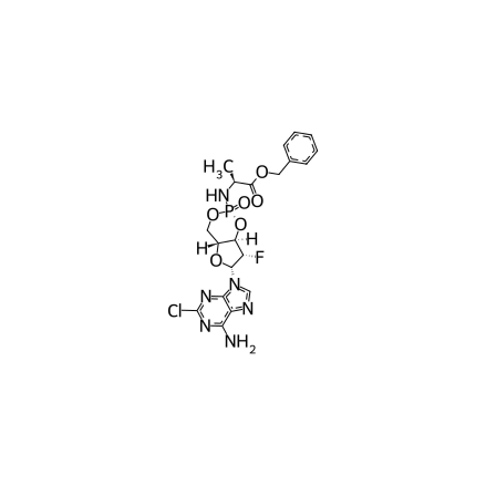 C[C@H](NP1(=O)OC[C@H]2O[C@@H](n3cnc4c(N)nc(Cl)nc43)[C@@H](F)[C@@H]2O1)C(=O)OCc1ccccc1